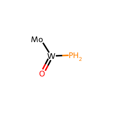 [O]=[W]([PH2])[Mo]